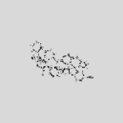 CC(C)(C)c1ccc2c(c1)C1(c3ccccc3Oc3ccc(N(c4ccc5c(c4)C(C)(C)c4ccccc4-5)c4cccc5oc6ccccc6c45)cc31)c1cc(C(C)(C)C)ccc1-2